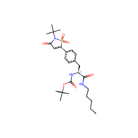 CCCCCNC(=O)[C@H](Cc1ccc(C2=CC(=O)N(C(C)(C)C)S2(=O)=O)cc1)NC(=O)OC(C)(C)C